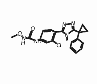 CONC(=O)Nc1ccc(-c2nnc(C3(c4ccccc4)CC3)n2C)c(Cl)c1